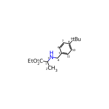 CCOC(=O)C(C)NCc1ccc(C(C)(C)C)cc1